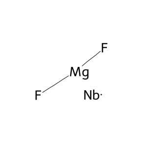 [F][Mg][F].[Nb]